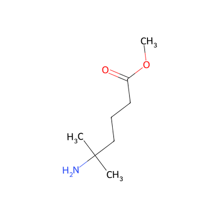 COC(=O)CCCC(C)(C)N